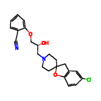 N#Cc1ccccc1OC[C@H](O)CN1CCC2(CC1)Cc1cc(Cl)ccc1O2